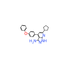 Nc1n[nH]c2nc(C3CCCC3)cc(-c3ccc(Oc4ccccc4)cc3)c12